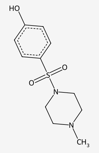 CN1CCN(S(=O)(=O)c2ccc(O)cc2)CC1